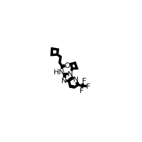 O=C(CCC1CCC1)Nc1nc2ccc(C(F)(F)F)nc2n1C1CCC1